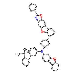 CC1(C)c2ccccc2-c2cc(N(c3ccc(-c4cccc5c4oc4cc6nc(-c7ccccc7)oc6cc45)cc3)c3ccc4c(c3)oc3ccccc34)ccc21